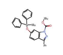 CC(C)c1nn(C(=O)OC(C)(C)C)c2cc(O[Si](c3ccccc3)(c3ccccc3)C(C)(C)C)ccc12